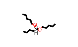 CCCCCO[SiH](CCCC)OCCCCC